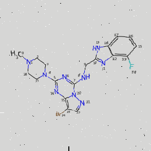 CN1CCN(c2nc(NCc3nc4c(F)cccc4[nH]3)n3ncc(Br)c3n2)CC1